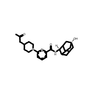 CC(=O)CC1CCN(c2cccc(C(=O)N[C@H]3C4CC5CC3C[C@](O)(C5)C4)n2)CC1